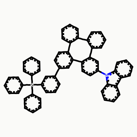 c1ccc([Si](c2ccccc2)(c2ccccc2)c2cccc(-c3ccc4c(c3)-c3ccc(-n5c6ccccc6c6ccccc65)cc3-c3ccccc3-c3ccccc3-4)c2)cc1